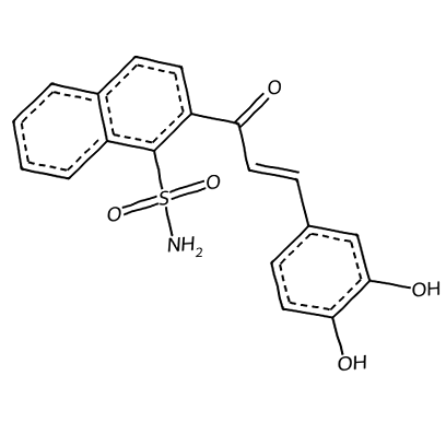 NS(=O)(=O)c1c(C(=O)C=Cc2ccc(O)c(O)c2)ccc2ccccc12